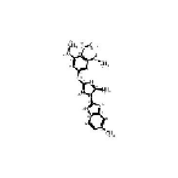 COc1cc(Nc2nc(N)n(-c3nc4ccc(C)cc4s3)n2)cc(OC)c1OC